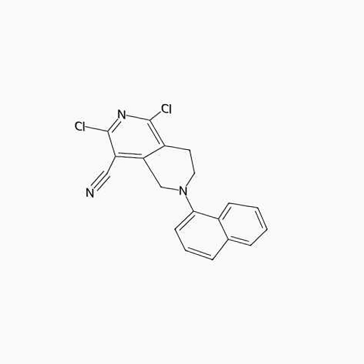 N#Cc1c(Cl)nc(Cl)c2c1CN(c1cccc3ccccc13)CC2